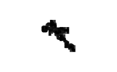 COc1ccc2nccc([C@H](F)CC[C@@H]3CCN(CCCSc4ccn(C)c4)C[C@@H]3C(=O)O)c2c1